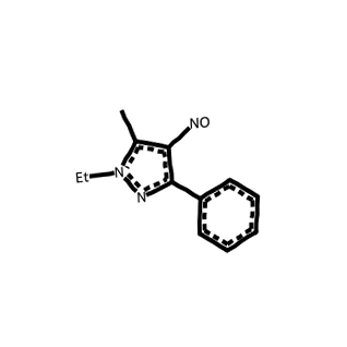 CCn1nc(-c2ccccc2)c(N=O)c1C